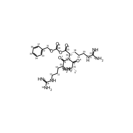 C[C@H](N)C(=O)N(C(=O)[C@@H](N)CCCNC(=N)N)[C@@H](CCCNC(=N)N)C(=O)OC(=O)OCc1ccccc1